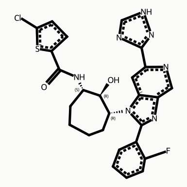 O=C(N[C@H]1CCCC[C@@H](n2c(-c3ccccc3F)nc3cnc(-c4nc[nH]n4)cc32)[C@@H]1O)c1ccc(Cl)s1